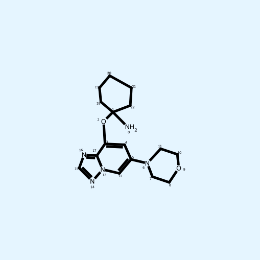 NC1(Oc2cc(N3CCOCC3)cn3ncnc23)CCCCC1